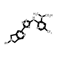 CC(C)N1Cc2cnc(-c3nsc(Nc4ncc(C(F)(F)F)cc4N(C)C(=O)O)n3)cc2C1